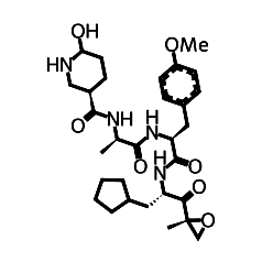 COc1ccc(C[C@H](NC(=O)[C@@H](C)NC(=O)[C@@H]2CCC(O)NC2)C(=O)N[C@@H](CC2CCCC2)C(=O)[C@@]2(C)CO2)cc1